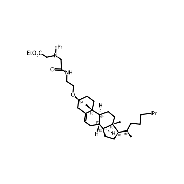 CCCN(CC(=O)NCCO[C@H]1CC[C@@]2(C)C(=CC[C@H]3[C@@H]4CC[C@H]([C@H](C)CCCC(C)C)[C@@]4(C)CC[C@@H]32)C1)CC(=O)OCC